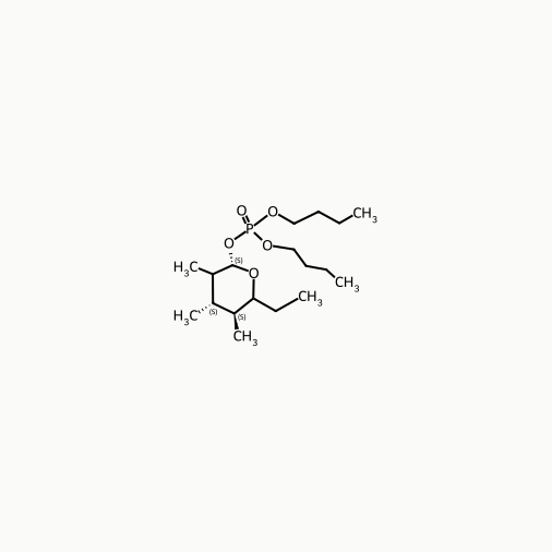 CCCCOP(=O)(OCCCC)O[C@@H]1OC(CC)[C@@H](C)[C@H](C)C1C